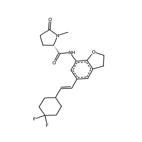 CN1C(=O)CC[C@H]1C(=O)Nc1cc(/C=C/C2CCC(F)(F)CC2)cc2c1OCC2